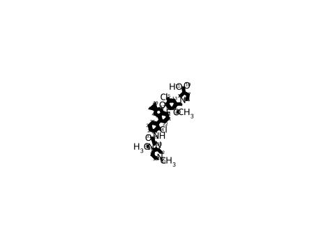 COc1c(CN2CCC(C(=O)O)C2)cc(Cl)c(OC2c3cccc(-c4cccc(NC(=O)c5nc6c(n5C)CCN(C)C6)c4Cl)c3CC23CC3)c1F